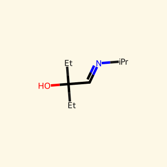 CCC(O)(C=NC(C)C)CC